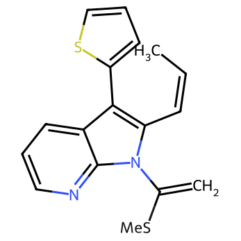 C=C(SC)n1c(/C=C\C)c(-c2cccs2)c2cccnc21